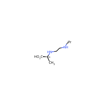 CC(C)NCCN[C@@H](C)C(=O)O